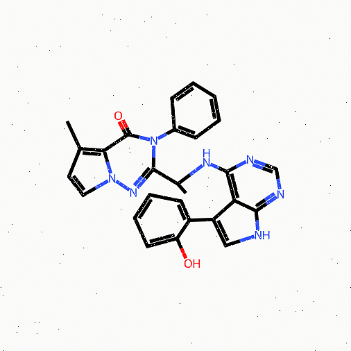 Cc1ccn2nc(C(C)Nc3ncnc4[nH]cc(-c5ccccc5O)c34)n(-c3ccccc3)c(=O)c12